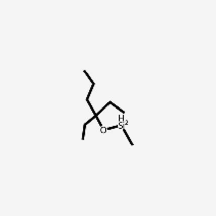 CCCC(CC)(CC)O[SiH2]C